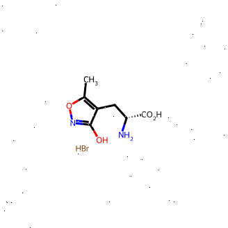 Br.Cc1onc(O)c1C[C@@H](N)C(=O)O